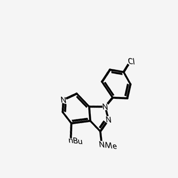 CCCCc1cncc2c1c(NC)nn2-c1ccc(Cl)cc1